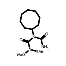 CSN(SC)C(=O)N(C(N)=O)C1CCCCCCC1